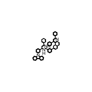 C1=CC(C2=CC(c3cccc(-n4c5ccccc5c5ccccc54)c3)NC(c3cccc(C4=CC=C5C=Cc6nc(-c7ccccc7)cc(-c7ccccc7)c6C5C4)c3)N2)=CCC1